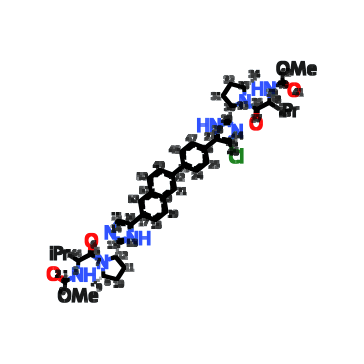 COC(=O)NC(C(=O)N1[C@@H](C)CC[C@H]1c1ncc(-c2ccc3cc(-c4ccc(-c5[nH]c([C@@H]6CC[C@H](C)N6C(=O)C(NC(=O)OC)C(C)C)nc5Cl)cc4)ccc3c2)[nH]1)C(C)C